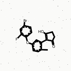 Cc1ccc(Oc2ccc(Br)cc2F)cc1C1=C(O)CCC1=O